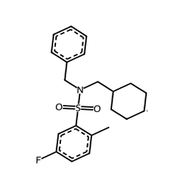 Cc1ccc(F)cc1S(=O)(=O)N(Cc1ccccc1)CC1CC[CH]CC1